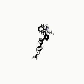 C/N=C(/N)N1CCCCN=S1(=O)Cc1cc(-c2cc(-c3cnc(OCC(F)F)cn3)no2)ccc1F